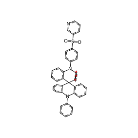 O=S(=O)(c1ccc(N2c3ccccc3C3(c4ccccc4N(c4ccccc4)c4ccccc43)c3ccccc32)cc1)c1cccnc1